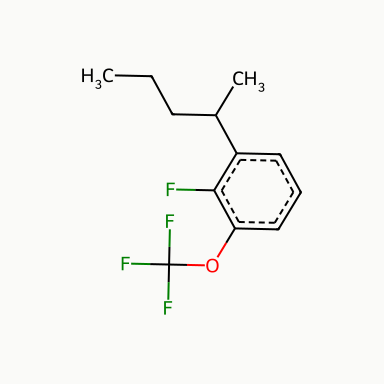 CCCC(C)c1cccc(OC(F)(F)F)c1F